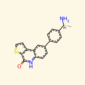 C[C@@H](N)c1ccc(-c2ccc3[nH]c(=O)c4sccc4c3c2)cc1